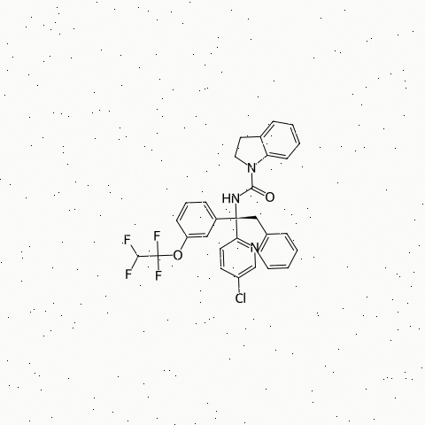 O=C(N[C@@](Cc1ccccc1)(c1cccc(OC(F)(F)C(F)F)c1)c1ccc(Cl)cn1)N1CCc2ccccc21